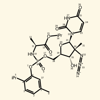 Cc1ccc(C(C)C)c(OP(=O)(N[C@@H](C)C(=O)OC(C)C)OC[C@H]2O[C@@H](n3ccc(=O)[nH]c3=O)[C@](C)(N=[N+]=[N-])[C@@H]2O)c1